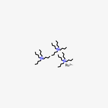 CCCC[N+](CCCC)(CCCC)CCCC.CCCC[N+](CCCC)(CCCC)CCCC.CCCC[N+](CCCC)(CCCC)CCCC.[Ru+3]